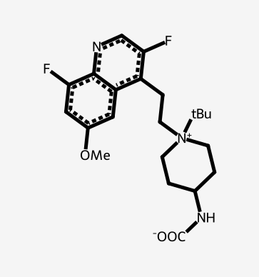 COc1cc(F)c2ncc(F)c(CC[N+]3(C(C)(C)C)CCC(NC(=O)[O-])CC3)c2c1